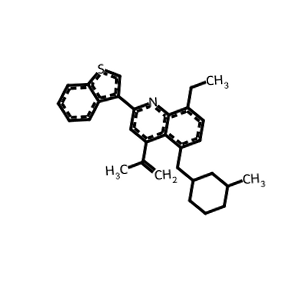 C=C(C)c1cc(-c2csc3ccccc23)nc2c(CC)ccc(CC3CCCC(C)C3)c12